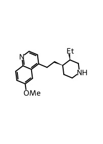 CC[C@H]1CNCC[C@H]1CCc1ccnc2ccc(OC)cc12